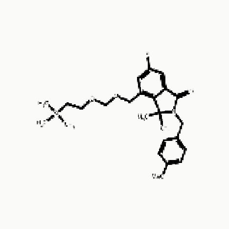 COc1ccc(CN2C(=O)c3cc(F)cc(COCOCC[Si](C)(C)C)c3C2(C)C)cc1